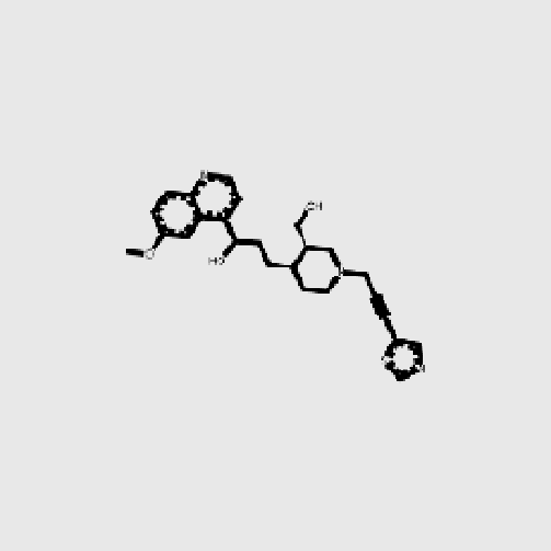 COc1ccc2nccc(C(O)CC[C@@H]3CCN(CC#Cc4cncs4)C[C@@H]3CO)c2c1